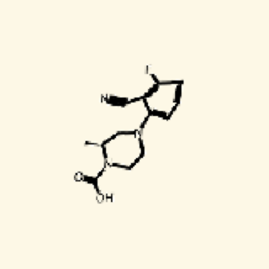 C[C@H]1CN(c2cccc(F)c2C#N)CCN1C(=O)O